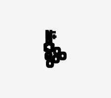 [N-]=[N+]=C1C=C2OC(=O)OC(=O)OC2=CC1